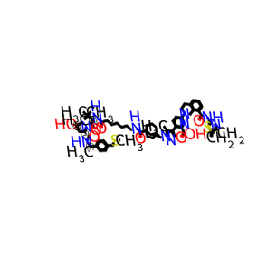 C=c1nc(NC(=O)c2cccc3c2CN(c2ccc(-c4cnn(CC56CCCC(C(=O)NCCCCCCC(=O)N[C@H](C(=O)N7C[C@H](O)C[C@H]7C(=O)N[C@@H](C)c7ccc(CSC)cc7)C(C)(C)C)(CC5)C6)c4C)c(C(=O)O)n2)CC3)sc1=C